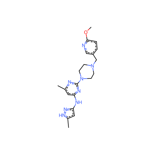 COc1ccc(CN2CCN(c3nc(C)cc(Nc4cc(C)[nH]n4)n3)CC2)cn1